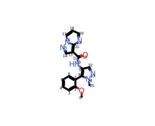 COc1ccccc1-c1c(NC(=O)c2cnn3cccnc23)cnn1C